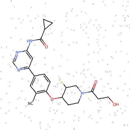 N#Cc1cc(-c2cc(NC(=O)C3CC3)ncn2)ccc1OC1CCN(C(=O)CCO)CC1F